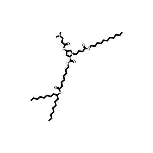 CCCCCCCCCCCOC(=O)CCCN1CC(OC(=O)CCN(C)C)C[C@H]1C(=O)OCCCCCCCC(=O)OC(CCCCCCCC)CCCCCCCC